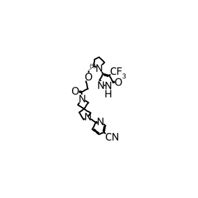 N#Cc1ccc(N2CCC3(CN(C(=O)CCOC[C@@H]4CCCN4c4cn[nH]c(=O)c4C(F)(F)F)C3)C2)nc1